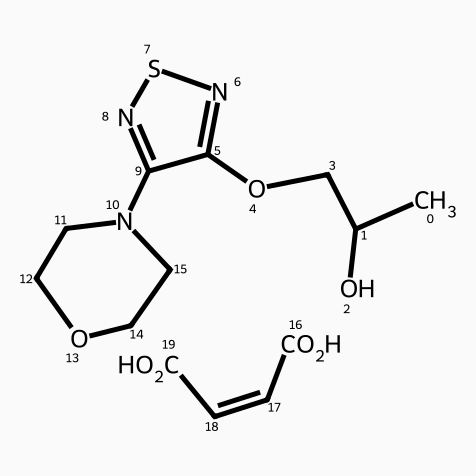 CC(O)COc1nsnc1N1CCOCC1.O=C(O)/C=C\C(=O)O